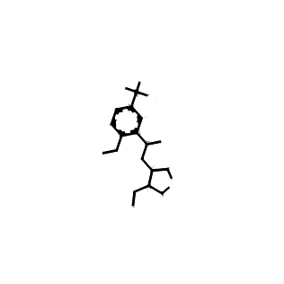 CCc1ccc(C(F)(F)F)cc1C(C)CC1COCC1CC